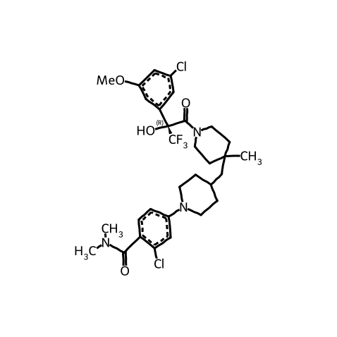 COc1cc(Cl)cc([C@@](O)(C(=O)N2CCC(C)(CC3CCN(c4ccc(C(=O)N(C)C)c(Cl)c4)CC3)CC2)C(F)(F)F)c1